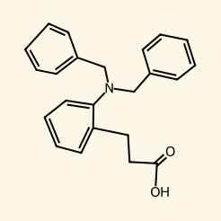 O=C(O)CCc1ccccc1N(Cc1ccccc1)Cc1ccccc1